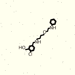 OCc1cc(CNCCCCOCCNc2ccccc2)ccc1Cl